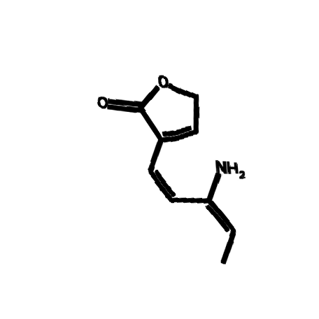 C/C=C(N)\C=C/C1=CCOC1=O